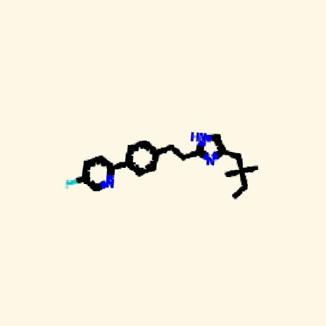 CCC(C)(C)Cc1c[nH]c(CCc2ccc(-c3ccc(F)cn3)cc2)n1